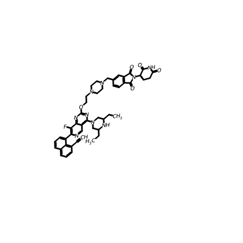 C#Cc1cccc2cccc(-c3ncc4c(N5CC(CC)NC(CC)C5)nc(OCCN5CCN(Cc6ccc7c(c6)C(=O)N(C6CCC(=O)NC6=O)C7=O)CC5)nc4c3F)c12